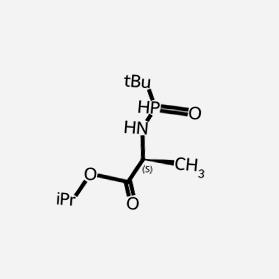 CC(C)OC(=O)[C@H](C)N[PH](=O)C(C)(C)C